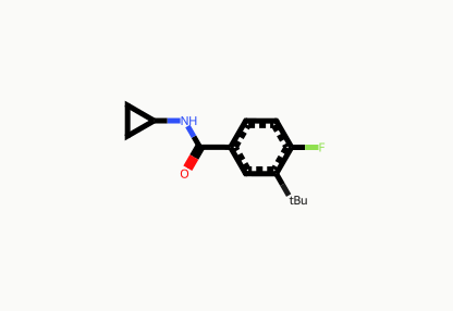 CC(C)(C)c1cc(C(=O)NC2CC2)ccc1F